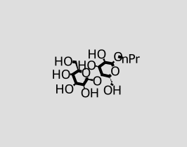 CCCO[C@H]1O[C@H](CO)[C@H](O[C@@H]2O[C@H](CO)[C@H](O)[C@H](O)[C@H]2O)[C@H](O)[C@H]1O